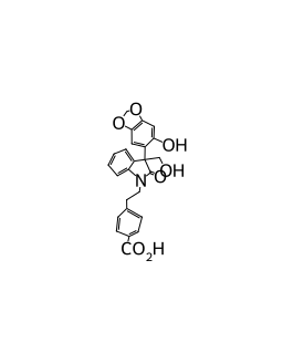 O=C(O)c1ccc(CCN2C(=O)C(CO)(c3cc4c(cc3O)OCO4)c3ccccc32)cc1